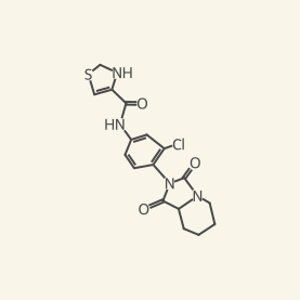 O=C(Nc1ccc(N2C(=O)C3CCCCN3C2=O)c(Cl)c1)C1=CSCN1